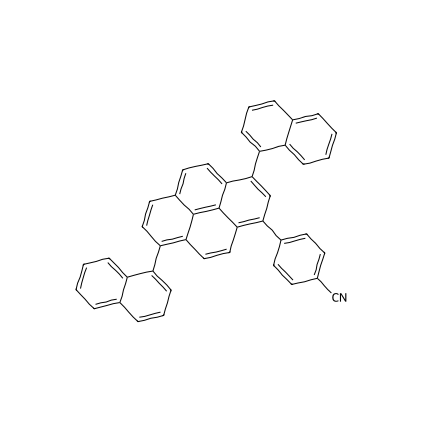 N#Cc1ccc(-c2cc(-c3cccc4ccccc34)c3ccc4ccc(-c5cccc6ccccc56)c5ccc2c3c45)cc1